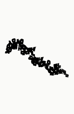 COC(=O)c1cc(NC(=O)[C@H](C)NC(=O)[C@@H](NC(=O)OC(C)(C)C)C(C)C)ccc1NCCCC[C@H](NC(=O)c1ccc(N(C=O)Cc2cnc3nc(N)nc(N)c3n2)cc1)C(=O)OC